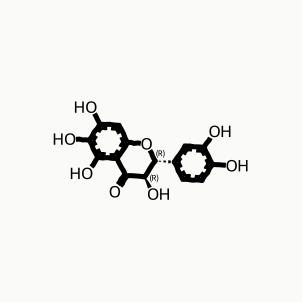 O=C1c2c(cc(O)c(O)c2O)O[C@H](c2ccc(O)c(O)c2)[C@H]1O